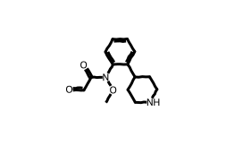 CON(C(=O)C=O)c1ccccc1C1CCNCC1